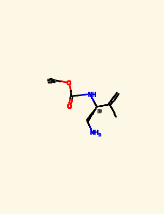 C=C(C)[C@@H](CN)NC(=O)OC(C)(C)C